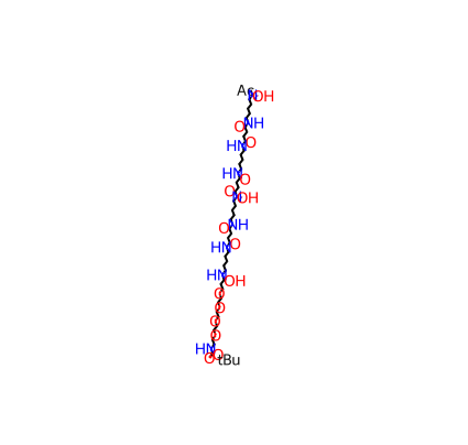 CC(=O)N(O)CCCCCNC(=O)CCC(=O)NCCCCCNC(=O)CCC(=O)N(O)CCCCCNC(=O)CCC(=O)NCCCCCNC(O)CCOCCOCCOCCOCCNC(=O)OC(C)(C)C